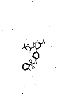 COC(=O)CC(NC(=O)OC(C)(C)C)c1ccc(OS(=O)(=O)c2ccccc2C)cc1